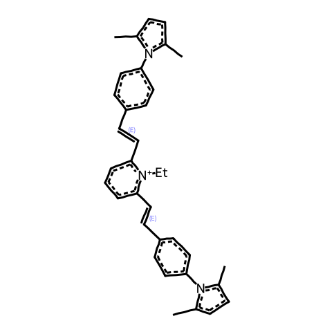 CC[n+]1c(/C=C/c2ccc(-n3c(C)ccc3C)cc2)cccc1/C=C/c1ccc(-n2c(C)ccc2C)cc1